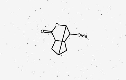 COC1C2CC3CC2C(=O)OC31